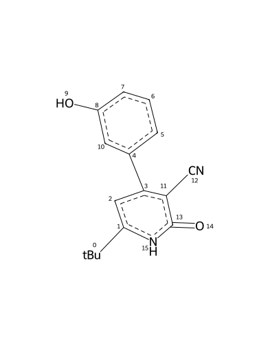 CC(C)(C)c1cc(-c2cccc(O)c2)c(C#N)c(=O)[nH]1